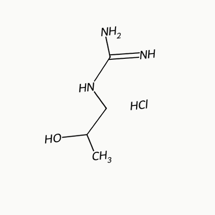 CC(O)CNC(=N)N.Cl